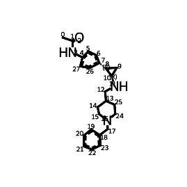 CC(=O)Nc1ccc([C@@H]2C[C@H]2NCC2CCN(Cc3ccccc3)CC2)cc1